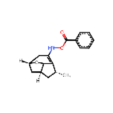 C[C@@H]1C[C@H]2C[C@@H]3CC(NOC(=O)c4ccccc4)=C1C2C3